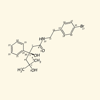 CC(C)(O)C[C@@](O)(CC(=O)NCCc1ccc(Br)cc1)c1ccccc1